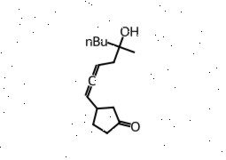 CCCCC(C)(O)CC=C=CC1CCC(=O)C1